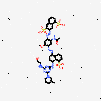 COc1cc(N=Nc2cc3c(S(=O)(=O)O)cccc3cc2S(=O)(=O)O)c(NC(C)=O)cc1N=Nc1ccc(Nc2nc(NCCO)nc(-[n+]3cccc(C)c3)n2)c2c(S(=O)(=O)O)cccc12